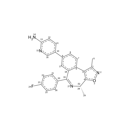 Cc1noc2c1-c1ccc(-c3ccc(N)nc3)cc1C(c1ccc(F)cc1)=N[C@H]2C